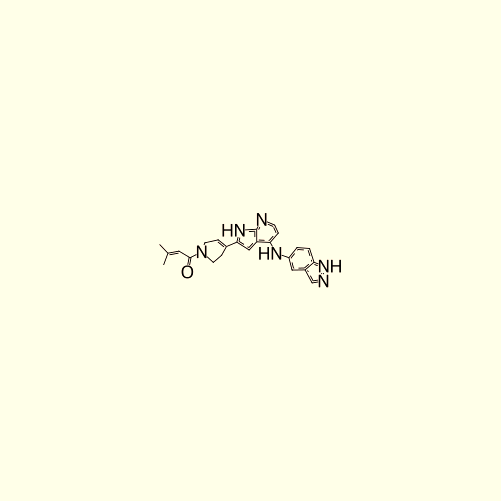 CC(C)=CC(=O)N1CC=C(c2cc3c(Nc4ccc5[nH]ncc5c4)ccnc3[nH]2)CC1